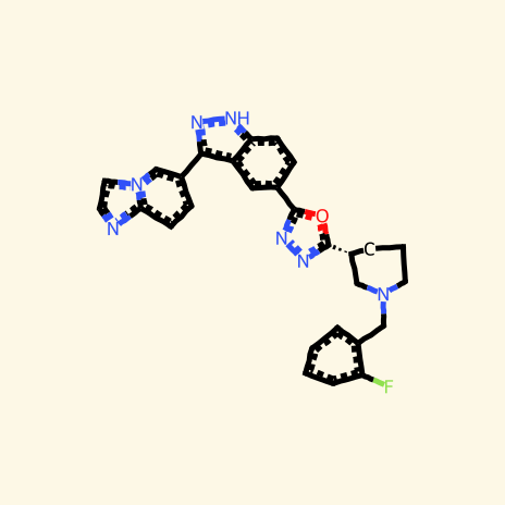 Fc1ccccc1CN1CCC[C@@H](c2nnc(-c3ccc4[nH]nc(-c5ccc6nccn6c5)c4c3)o2)C1